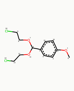 COc1ccc(C(OCCCl)OCCCl)cc1